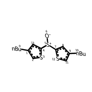 CCCCc1csc([S+]([O-])c2cc(CCCC)cs2)c1